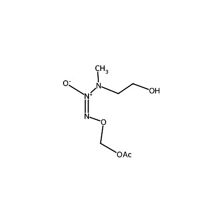 CC(=O)OCO/N=[N+](/[O-])N(C)CCO